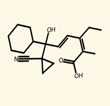 CCC(C=CC(O)(C1CCCCC1)C1(C#N)CC1)=C(C)C(=O)O